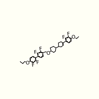 CCCOc1ccc(-c2ccc(COC3CCC(C4CC=C(c5ccc(OCC)c(F)c5F)CC4)CC3)c(F)c2F)c(F)c1F